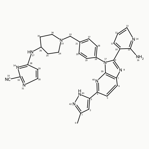 Cc1cc(-c2ccc3nc(-c4cccnc4N)n(-c4ccc(CN5CCC(Nc6ccnc(C#N)n6)CC5)cc4)c3n2)[nH]n1